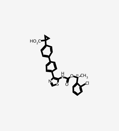 C[C@@H](OC(=O)Nc1scnc1-c1ccc(-c2ccc(C3(C(=O)O)CC3)cc2)cc1)c1ccccc1Cl